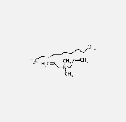 C=CC[N+](C)(C)CC=C.CCCCCCCCCC